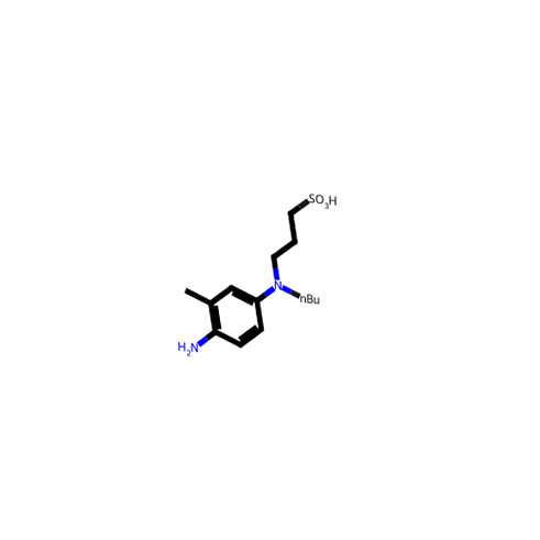 CCCCN(CCCS(=O)(=O)O)c1ccc(N)c(C)c1